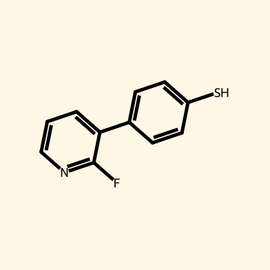 Fc1ncccc1-c1ccc(S)cc1